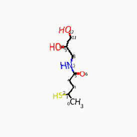 CC(S)CCC(=O)NCC(O)CO